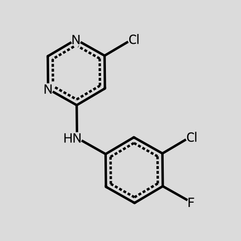 Fc1ccc(Nc2cc(Cl)ncn2)cc1Cl